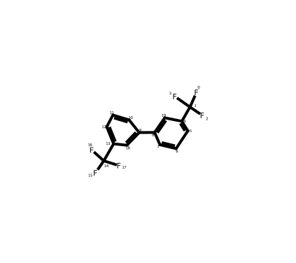 FC(F)(F)c1cccc(-c2cccc(C(F)(F)F)c2)c1